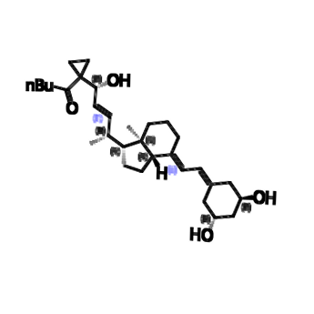 CCCCC(=O)C1([C@H](O)/C=C/[C@@H](C)[C@H]2CC[C@H]3/C(=C/C=C4C[C@@H](O)C[C@H](O)C4)CCC[C@]23C)CC1